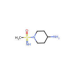 CS(=N)(=O)N1CCC(N)CC1